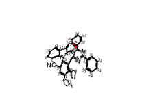 N#Cc1cc(C#N)c(-n2c3ccccc3c3ccccc32)c(-c2nc(-c3ccccc3)nc(-c3ccccc3)n2)c1Cl